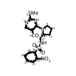 CCOC(=O)c1cnc(SC)nc1N1CCC[C@H]1CNS(=O)(=O)c1ccccc1[N+](=O)[O-]